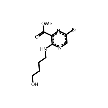 COC(=O)c1nc(Br)cnc1NCCCCO